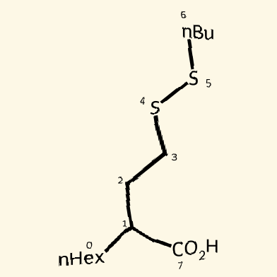 CCCCCCC(CCSSCCCC)C(=O)O